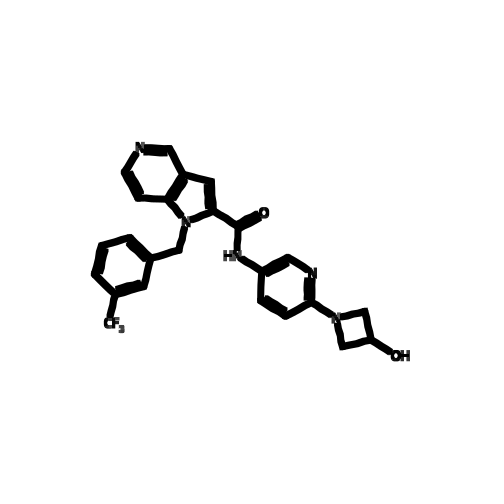 O=C(Nc1ccc(N2CC(O)C2)nc1)c1cc2cnccc2n1Cc1cccc(C(F)(F)F)c1